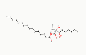 CCCCCCCCCCCCCCCC(=O)OC(=O)C(O)(CC)C(O)CCCCCC